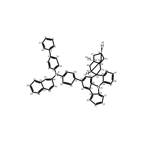 c1ccc(-c2ccc(N(c3ccc(-c4cc5c6c(c4)c4ccccc4n6-c4ccccc4C54CC5C[C@H]6C[C@@H]5C[C@H]4C6)cc3)c3ccc4ccccc4c3)cc2)cc1